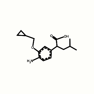 CC(C)CC(C(=O)O)c1ccc(N)c(OCC2CC2)c1